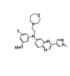 COc1cc(F)cc(N(CCN2CCCOCC2)c2ccc3ncc(-c4cnn(C)c4)nc3c2)c1